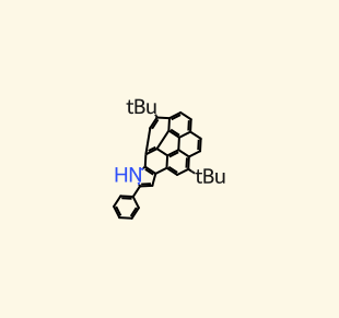 CC(C)(C)c1cc2c3cc(-c4ccccc4)[nH]c3c3cc(C(C)(C)C)c4ccc5ccc1c1c5c4c3c21